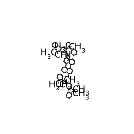 Cc1ccccc1C(C)(C)c1cc2c(cc1CCc1ccc3c4cccc5c(N6c7ccccc7C(C)(C)c7cc8c(cc76)C(C)(C)c6ccccc6-8)ccc(c6cccc1c36)c54)C(C)(C)c1ccccc1-2